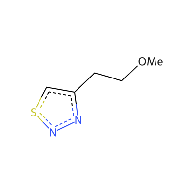 COCCc1csnn1